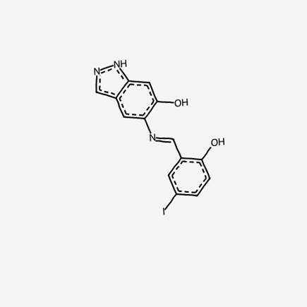 Oc1ccc(I)cc1/C=N/c1cc2cn[nH]c2cc1O